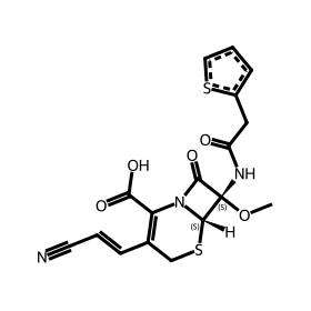 CO[C@@]1(NC(=O)Cc2cccs2)C(=O)N2C(C(=O)O)=C(C=CC#N)CS[C@H]21